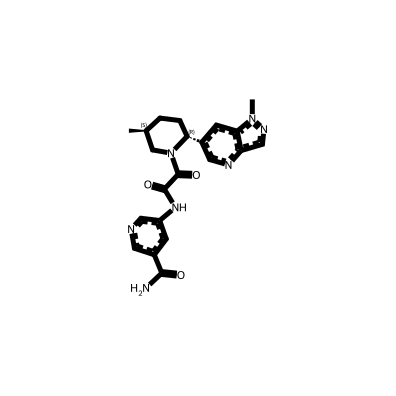 C[C@H]1CC[C@H](c2cnc3cnn(C)c3c2)N(C(=O)C(=O)Nc2cncc(C(N)=O)c2)C1